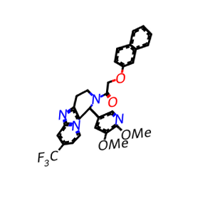 COc1cc(C2c3c(nc4cc(C(F)(F)F)ccn34)CCN2C(=O)COc2ccc3ccccc3c2)cnc1OC